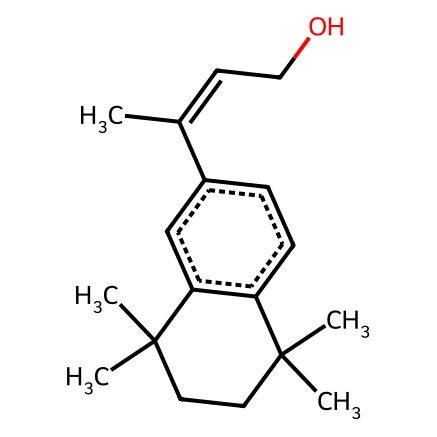 C/C(=C/CO)c1ccc2c(c1)C(C)(C)CCC2(C)C